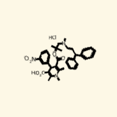 CC1=C(C(=O)O)C(c2cccc([N+](=O)[O-])c2)C(C(=O)OC(C)(C)CN(C)CCC(c2ccccc2)c2ccccc2)=C(C)N1C.Cl